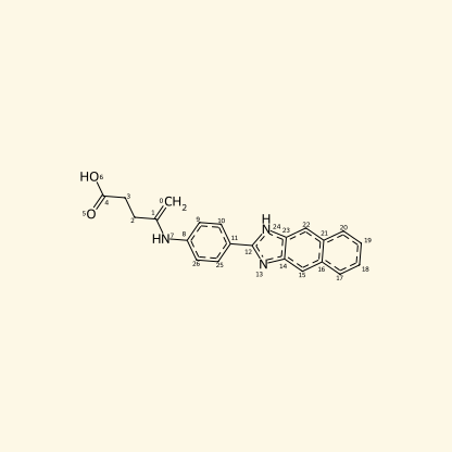 C=C(CCC(=O)O)Nc1ccc(-c2nc3cc4ccccc4cc3[nH]2)cc1